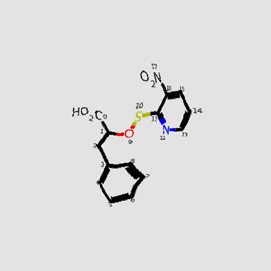 O=C(O)C(Cc1ccccc1)OSc1ncccc1[N+](=O)[O-]